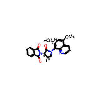 CC(=O)O.COc1ccc(N2C[C@@H](C)[C@H](N3C(=O)c4ccccc4C3=O)C2=O)c2ncccc12